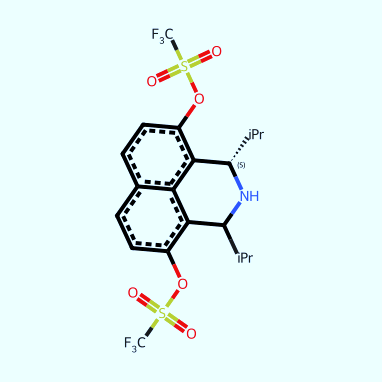 CC(C)C1N[C@@H](C(C)C)c2c(OS(=O)(=O)C(F)(F)F)ccc3ccc(OS(=O)(=O)C(F)(F)F)c1c23